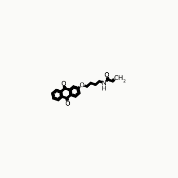 C=CC(=O)NCCCCOc1ccc2c(c1)C(=O)c1ccccc1C2=O